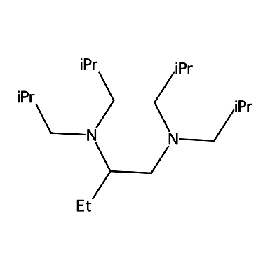 CCC(CN(CC(C)C)CC(C)C)N(CC(C)C)CC(C)C